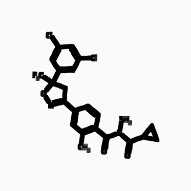 Cc1cc(C2=NOC(c3cc(Cl)cc(Cl)c3)(C(F)(F)F)C2)ccc1C(=O)N(N)C(=O)C1CC1